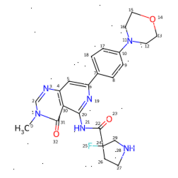 Cn1cnc2cc(-c3ccc(N4CCOCC4)cc3)nc(NC(=O)C3(F)CCNC3)c2c1=O